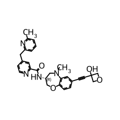 Cc1cccc(Cc2ccnc(C(=O)N[C@H]3COc4ccc(C#CC5(O)COC5)cc4N(C)C3)c2)n1